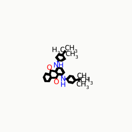 CC(C)(C)c1ccc(Nc2ccc(Nc3ccc(C(C)(C)C)cc3)c3c2C(=O)c2ccccc2C3=O)cc1